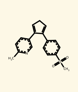 Cc1ccc(C2=CCC=C2c2ccc(S(C)(=O)=O)cc2)cn1